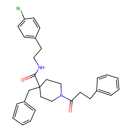 O=C(CCc1ccccc1)N1CCC(Cc2ccccc2)(C(=O)NCCc2ccc(Br)cc2)CC1